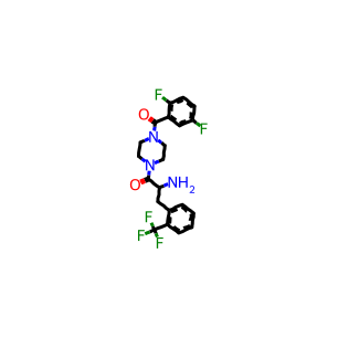 NC(Cc1ccccc1C(F)(F)F)C(=O)N1CCN(C(=O)c2cc(F)ccc2F)CC1